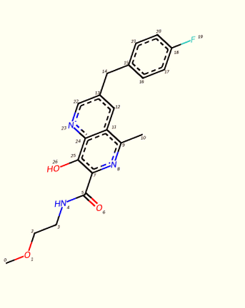 COCCNC(=O)c1nc(C)c2cc(Cc3ccc(F)cc3)cnc2c1O